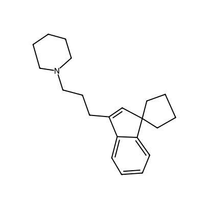 C1=C(CCCN2CCCCC2)c2ccccc2C12CCCC2